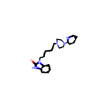 O=c1[nH]c2ccccc2n1CCCCCN1CCN(c2ccccn2)CC1